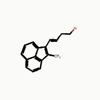 CC1=C(/C=C/CCBr)c2cccc3cccc1c23